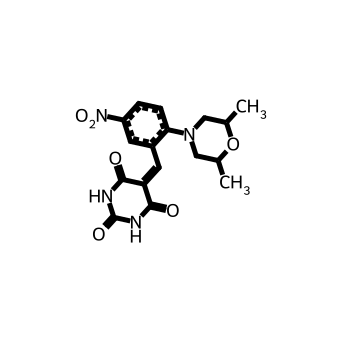 CC1CN(c2ccc([N+](=O)[O-])cc2C=C2C(=O)NC(=O)NC2=O)CC(C)O1